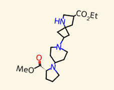 CCOC(=O)C1CNC2(C1)CC(N1CCC(N3CCC[C@@H]3C(=O)OC)CC1)C2